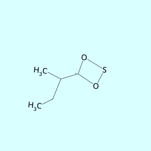 CCC(C)[C]1OSO1